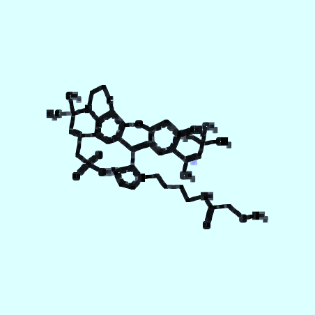 C=c1cc2c(cc1/C(C)=C\C(C)(C)C)=C(c1nccn1CCCCNC(=O)CON)c1cc3c4c(c1O2)CCCN4C(C)(C)C=C3CS(=O)(=O)O